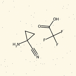 N#CC1(N)CC1.O=C(O)C(F)(F)F